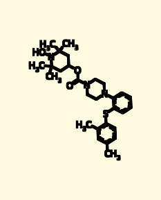 Cc1ccc(Sc2ccccc2N2CCN(C(=O)OC3CC(C)(C)N(O)C(C)(C)C3)CC2)c(C)c1